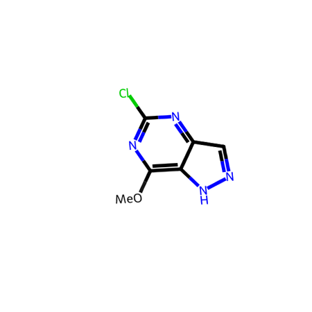 COc1nc(Cl)nc2cn[nH]c12